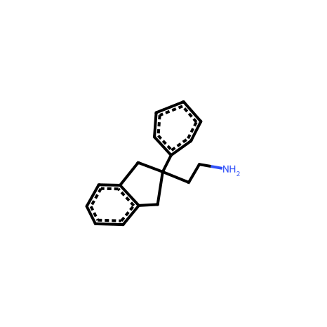 NCCC1(c2ccccc2)Cc2ccccc2C1